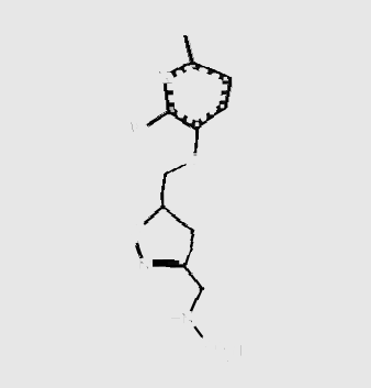 Cc1ccc(OCC2CC(CNC(=O)O)=NO2)c(Br)n1